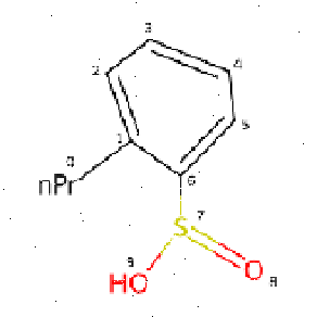 CCCc1ccccc1S(=O)O